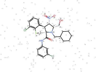 C[C@]1(C(=O)Nc2cccc(Cl)c2)[C@@H](c2cccc(Cl)c2F)[C@H]([N+](=O)[O-])[C@H](CO)N1CC1CCCCC1